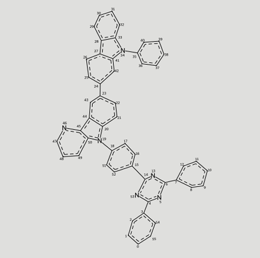 c1ccc(-c2nc(-c3ccccc3)nc(-c3ccc(-n4c5ccc(-c6ccc7c8ccccc8n(-c8ccccc8)c7c6)cc5c5ncccc54)cc3)n2)cc1